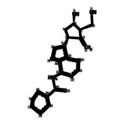 C=C1[C@H](CO)[C@@H](O)C[C@@H]1n1cnc2c(NC(=O)c3ccccc3)ncnc21